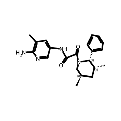 Cc1cc(NC(=O)C(=O)N2C[C@H](C)C[C@@H](C)[C@H]2c2ccccc2)cnc1N